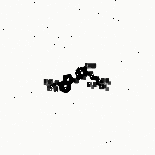 C[Si](C)(C)CCOc1nc(OC2CCc3c(OS(=O)(=O)C(F)(F)F)cccc32)ccc1C=O